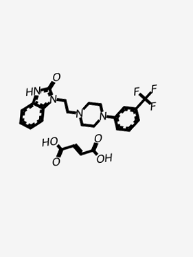 O=C(O)/C=C/C(=O)O.O=c1[nH]c2ccccc2n1CCN1CCN(c2cccc(C(F)(F)F)c2)CC1